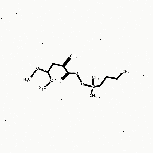 C=C(CC(OC)OC)C(=O)OO[Si](C)(C)CCCC